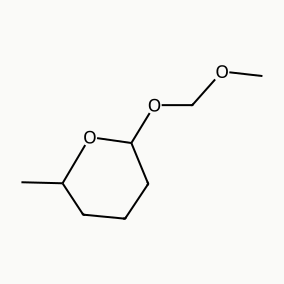 COCOC1CCCC(C)O1